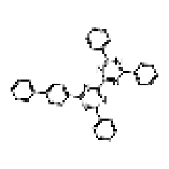 c1ccc(-c2ccc(-c3nc(-c4ccccc4)nc(-c4nc(-c5ccccc5)nc(-c5ccccc5)n4)n3)cc2)cc1